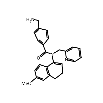 COc1ccc2c(c1)CCC=C2N(Cc1ccccn1)C(=O)c1ccc(CN)cc1